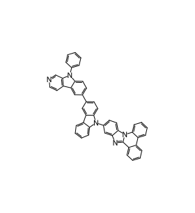 c1ccc(-n2c3ccc(-c4ccc5c(c4)c4ccccc4n5-c4ccc5c(c4)nc4c6ccccc6c6ccccc6n54)cc3c3ccncc32)cc1